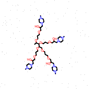 CC(OCCCOCC(O)CN1CCN(C)CC1)C(OCCCOCC(O)CN1CCN(C)CC1)C(COCCCOCC(O)CN1CCN(C)CC1)OCCCOCC(O)CN1CCN(C)CC1